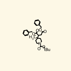 CC(C)(C)OC(=O)N1CCC(C)(C(CC(=O)OCc2ccccc2)C(=O)OCc2ccccc2)CC1